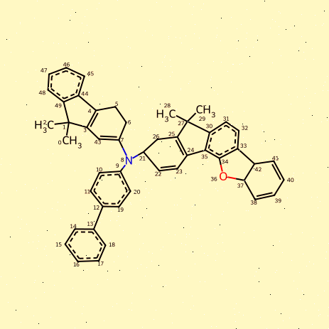 CC1(C)C2=C(CCC(N(c3ccc(-c4ccccc4)cc3)C3C=CC4=C(C3)C(C)(C)c3ccc5c(c34)OC3C=CC=CC53)=C2)c2ccccc21